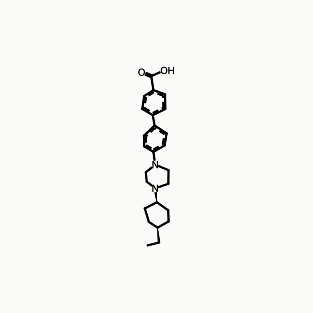 CC[C@H]1CC[C@@H](N2CCN(c3ccc(-c4ccc(C(=O)O)cc4)cc3)CC2)CC1